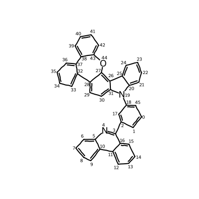 c1cc(-c2nc3ccccc3c3ccccc23)cc(-n2c3ccccc3c3c4c(ccc32)-c2ccccc2-c2ccccc2O4)c1